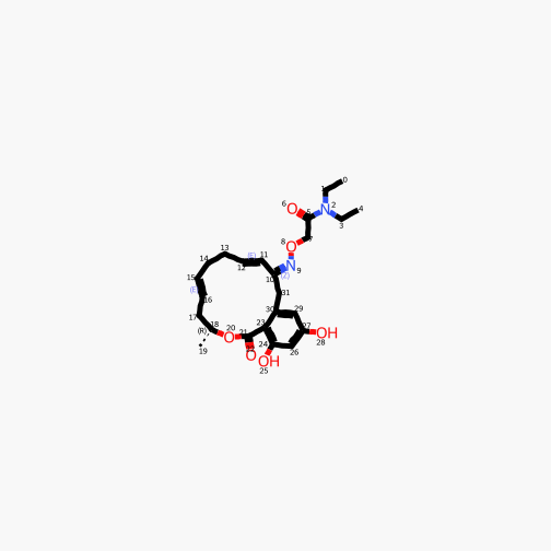 CCN(CC)C(=O)CO/N=C1\C=C\CC/C=C/C[C@@H](C)OC(=O)c2c(O)cc(O)cc2C1